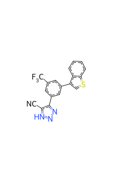 N#Cc1[nH]nnc1-c1cc(-c2csc3ccccc23)cc(C(F)(F)F)c1